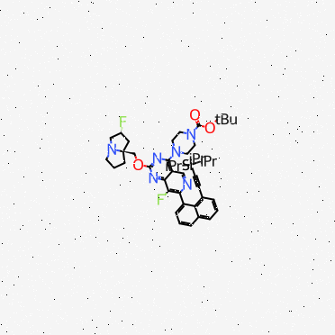 CC(C)[Si](C#Cc1cccc2cccc(-c3ncc4c(N5CCN(C(=O)OC(C)(C)C)CC5)nc(OC[C@@]56CCCN5C[C@H](F)C6)nc4c3F)c12)(C(C)C)C(C)C